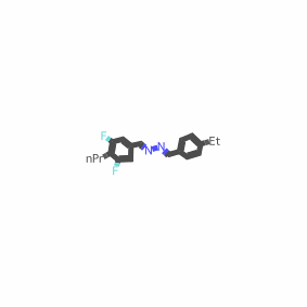 CCCc1c(F)cc(C=NN=Cc2ccc(CC)cc2)cc1F